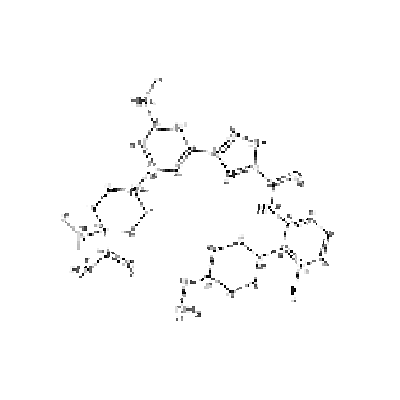 CNc1nc(-c2c[nH]c(C(=O)Nc3cccc(F)c3N3CCC(CN)CC3)n2)cc(N2CCC(NC)(C(N)=O)CC2)n1